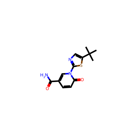 CC(C)(C)c1cnc(-n2cc(C(N)=O)ccc2=O)s1